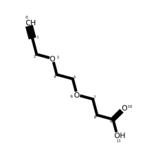 C#CCOCCOCCC(=O)O